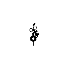 CCOC(=O)C(C)(Cc1ccc(I)cc1)C(C)=O